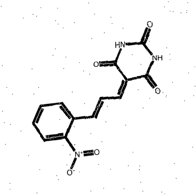 O=C1NC(=O)C(=C/C=C/c2ccccc2[N+](=O)[O-])C(=O)N1